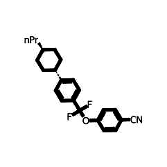 CCC[C@H]1CC[C@H](c2ccc(C(F)(F)Oc3ccc(C#N)cc3)cc2)CC1